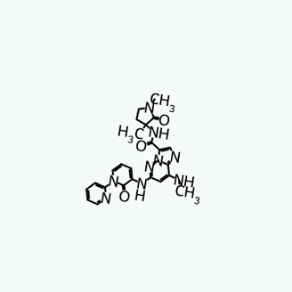 CNc1cc(Nc2cccn(-c3ccccn3)c2=O)nn2c(C(=O)NC3(C)CCN(C)C3=O)cnc12